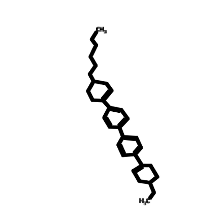 CCCCCCC1CC=C(c2ccc(-c3ccc(C4=CCC(CC)CC4)cc3)cc2)CC1